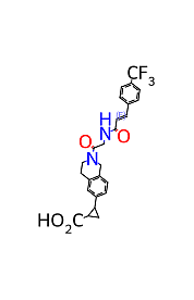 O=C(/C=C/c1ccc(C(F)(F)F)cc1)NCC(=O)N1CCc2cc(C3CC3C(=O)O)ccc2C1